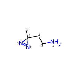 CC1(CCN)N=N1